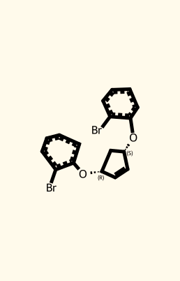 Brc1ccccc1O[C@@H]1C=C[C@H](Oc2ccccc2Br)C1